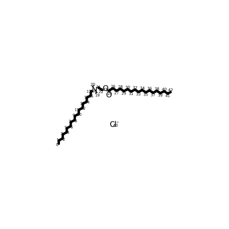 CCCCCCCCCCCCCCCCCC[N+](C)(C)CCOC(=O)CCCCCCCCCCCCCCCCC.[Cl-]